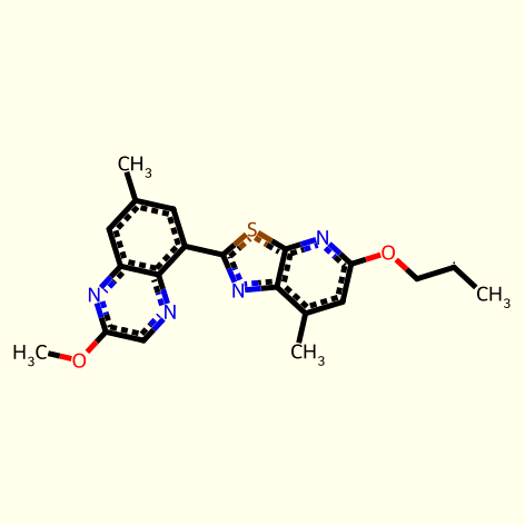 C[CH]COc1cc(C)c2nc(-c3cc(C)cc4nc(OC)cnc34)sc2n1